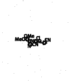 COc1ccc(-c2cncc(C#N)c2Nc2ccc(OCc3cccc(C#N)c3)c(Cl)c2)cc1OC